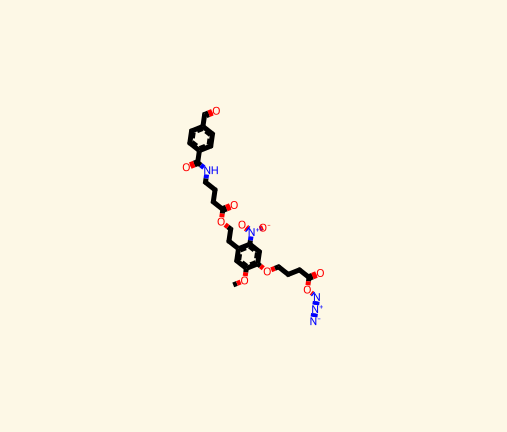 COc1cc(CCOC(=O)CCCNC(=O)c2ccc(C=O)cc2)c([N+](=O)[O-])cc1OCCCC(=O)ON=[N+]=[N-]